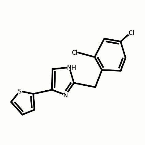 Clc1ccc(Cc2nc(-c3cccs3)c[nH]2)c(Cl)c1